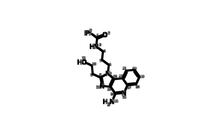 CC(C)C(=O)NCCCn1c(CCO)nc2c(N)nc3ccccc3c21